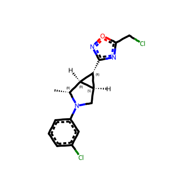 C[C@@H]1[C@@H]2[C@H](CN1c1cccc(Cl)c1)[C@H]2c1noc(CCl)n1